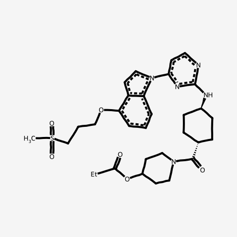 CCC(=O)OC1CCN(C(=O)[C@H]2CC[C@H](Nc3nccc(-n4ccc5c(OCCCS(C)(=O)=O)cccc54)n3)CC2)CC1